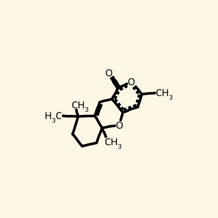 Cc1cc2c(c(=O)o1)C=C1C(C)(C)CCCC1(C)O2